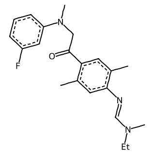 CCN(C)C=Nc1cc(C)c(C(=O)CN(C)c2cccc(F)c2)cc1C